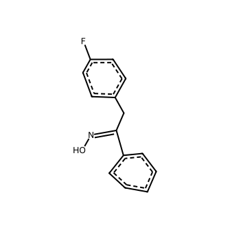 ON=C(Cc1ccc(F)cc1)c1ccccc1